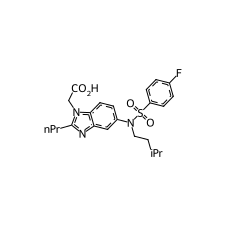 CCCc1nc2cc(N(CCC(C)C)S(=O)(=O)c3ccc(F)cc3)ccc2n1CC(=O)O